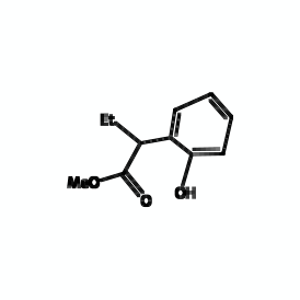 CCC(C(=O)OC)c1ccccc1O